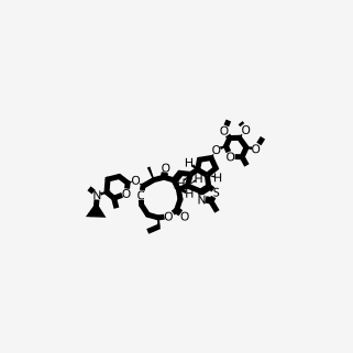 CC[C@H]1CCC[C@H](O[C@H]2CC[C@H](N(C)C3CC3)C(C)O2)[C@@H](C)C(=O)C2=C[C@H]3[C@@H]4C[C@H](O[C@@H]5OC(C)[C@H](OC)[C@@H](OC)C5OC)C[C@H]4c4sc(C)nc4[C@H]3[C@@H]2CC(=O)O1